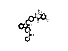 Cc1ncc(Cl)cc1C(=O)NC1CCC(CN2C(=O)C3(CCN(C(=O)N4CCCC4)CC3)c3ccccc32)CC1